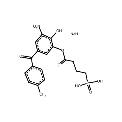 Cc1ccc(C(=O)c2cc(OC(=O)CCCP(=O)(O)O)c(O)c([N+](=O)[O-])c2)cc1.[NaH]